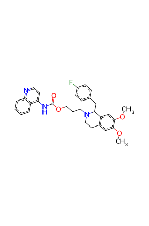 COc1cc2c(cc1OC)C(Cc1ccc(F)cc1)N(CCCOC(=O)Nc1ccnc3ccccc13)CC2